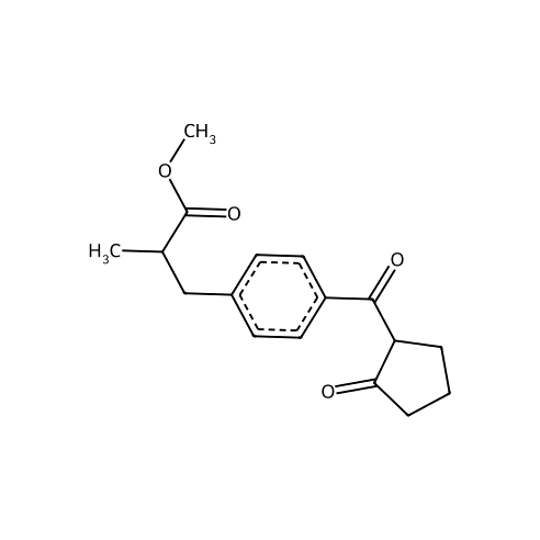 COC(=O)C(C)Cc1ccc(C(=O)C2CCCC2=O)cc1